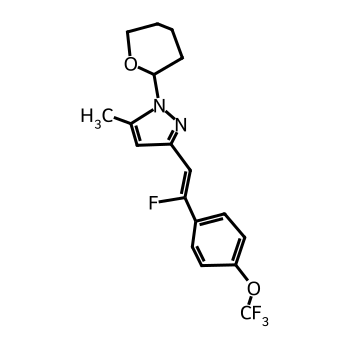 Cc1cc(C=C(F)c2ccc(OC(F)(F)F)cc2)nn1C1CCCCO1